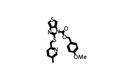 COc1ccc(COC(=O)n2c(SCc3ccc(C)cn3)nc3cscc32)cc1